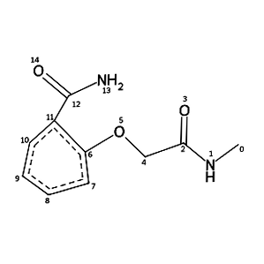 CNC(=O)COc1ccccc1C(N)=O